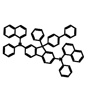 c1ccc(-c2ccc(C3(c4ccccc4)c4cc(N(c5ccccc5)c5cccc6ccccc56)ccc4-c4ccc(N(c5ccccc5)c5cccc6ccccc56)cc43)cc2)cc1